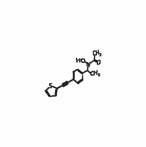 CC(=O)N(O)C(C)c1ccc(C#Cc2cccs2)cc1